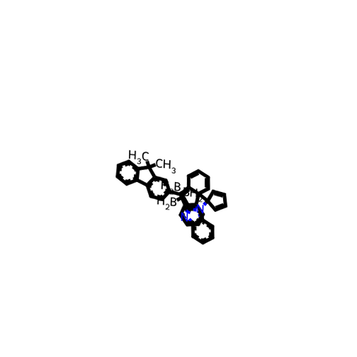 BC(B)(B)c1nc2ccccc2n1C1(C23C=CC=CC2=C(c2ccc4c(c2)C(C)(C)c2ccccc2-4)c2ccccc23)C=CC=C1